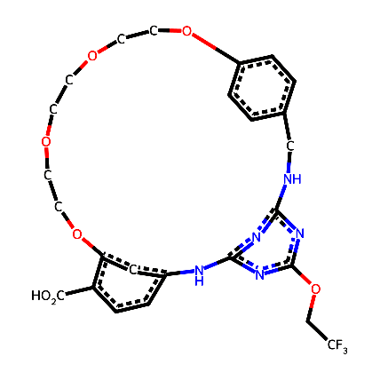 O=C(O)c1ccc2cc1OCCOCCOCCOc1ccc(cc1)CNc1nc(nc(OCC(F)(F)F)n1)N2